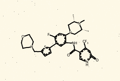 C[C@@H]1CN(c2cc(F)c(-c3ccc(CN4CCOCC4)s3)cc2NC(=O)c2c[nH]c(=O)cc2C(F)(F)F)C[C@H](C)N1C